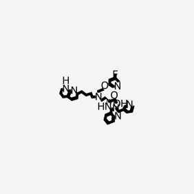 O=C(O)[C@H](CCN(CCCCc1ccc2c(n1)NCCC2)CCOc1cncc(F)c1)Nc1nc(-c2cccnc2)nc2ccccc12